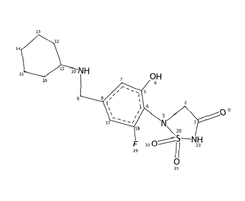 O=C1CN(c2c(O)cc(CNC3CCCCC3)cc2F)S(=O)(=O)N1